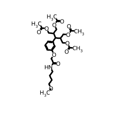 COCCCCNC(=O)COc1cccc(C(C(COC(C)=O)COC(C)=O)C(COC(C)=O)COC(C)=O)c1